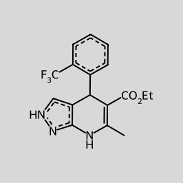 CCOC(=O)C1=C(C)Nc2n[nH]cc2C1c1ccccc1C(F)(F)F